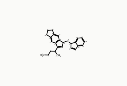 CCCC(C)C1=C[CH]([Zr][CH]2C=Cc3ccccc32)c2cc3c(cc21)CCC3